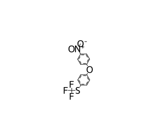 O=[N+]([O-])c1ccc(Oc2ccc(SC(F)(F)F)cc2)cc1